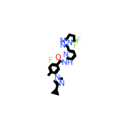 Cc1cc(F)c(C(=O)Nc2cccc(-c3nnc4n3C(F)(F)CC4)n2)cc1-n1cnc(C2CC2)c1